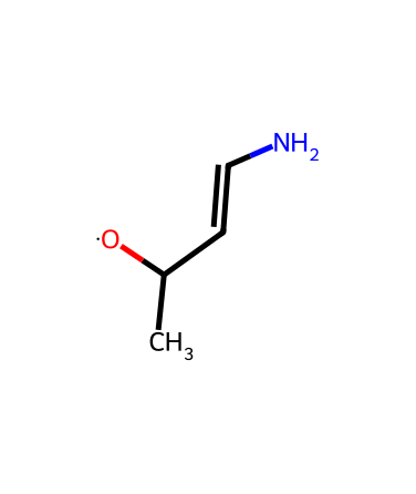 CC([O])C=CN